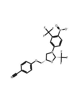 N#Cc1ccc(OC[C@@H]2CN(c3ccc([N+](=O)[O-])c(C(F)(F)F)c3)[C@H](C(F)(F)F)O2)cc1